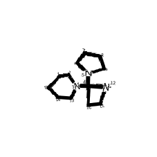 C1CCN(C2(N3CCCC3)CC[N]2)CC1